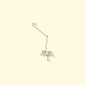 CCCCCCCCCC/C=C\CCCCCCCC(O)(C[N+](C)(C)C)P(=O)(O)O